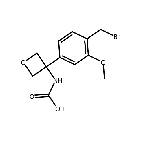 COc1cc(C2(NC(=O)O)COC2)ccc1CBr